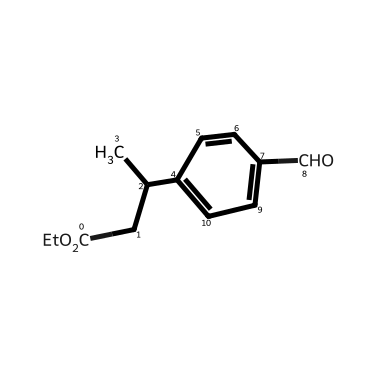 CCOC(=O)CC(C)c1ccc(C=O)cc1